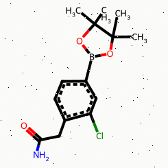 CC1(C)OB(c2ccc([CH]C(N)=O)c(Cl)c2)OC1(C)C